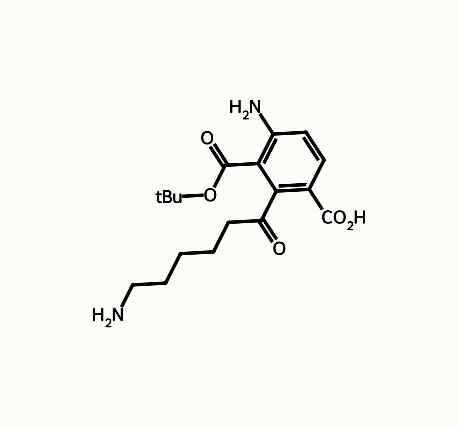 CC(C)(C)OC(=O)c1c(N)ccc(C(=O)O)c1C(=O)CCCCCN